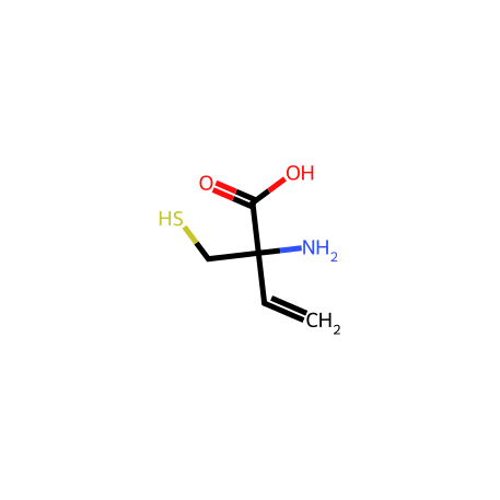 C=CC(N)(CS)C(=O)O